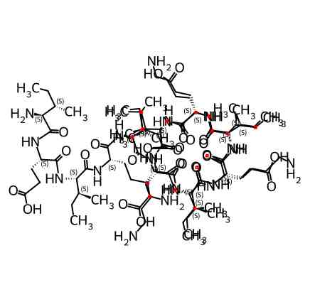 CC[C@H](C)[C@H](N)C(=O)N[C@@H](CCC(=O)O)C(=O)N[C@H](C(=O)N[C@@H](CCCCN)C(=O)N[C@H](C(=O)N[C@@H](CCC(=O)O)C(=O)N[C@H](C(=O)N[C@@H](CCCCN)C(=O)N[C@H](C(=O)N[C@@H](CCC(=O)O)C(=O)N[C@H](C(=O)N[C@@H](CCCCN)C(=O)N[C@H](C(=O)N[C@@H](CCC(=O)O)C(=O)N[C@H](C(=O)N[C@@H](CCCCN)C(=O)N[C@H](C(=O)O)[C@@H](C)CC)[C@@H](C)CC)[C@@H](C)CC)[C@@H](C)CC)[C@@H](C)CC)[C@@H](C)CC)[C@@H](C)CC)[C@@H](C)CC